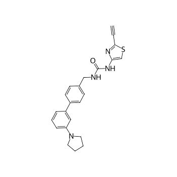 C#Cc1nc(NC(=O)NCc2ccc(-c3cccc(N4CCCC4)c3)cc2)cs1